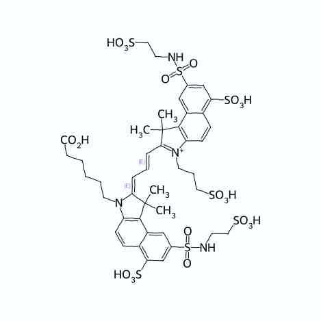 CC1(C)C(/C=C/C=C2/N(CCCCCC(=O)O)c3ccc4c(S(=O)(=O)O)cc(S(=O)(=O)NCCS(=O)(=O)O)cc4c3C2(C)C)=[N+](CCCS(=O)(=O)O)c2ccc3c(S(=O)(=O)O)cc(S(=O)(=O)NCCS(=O)(=O)O)cc3c21